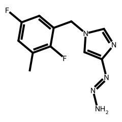 Cc1cc(F)cc(Cn2cnc(N=NN)c2)c1F